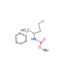 CC(C)(C)OC(=O)NC(CCI)C(=O)O.c1ccccc1